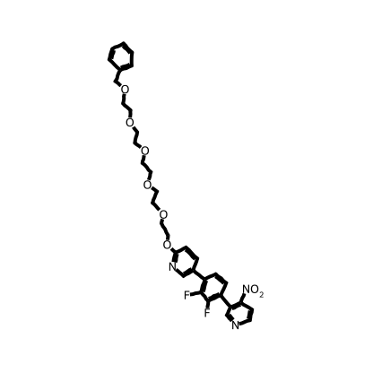 O=[N+]([O-])c1ccncc1-c1ccc(-c2ccc(OCCOCCOCCOCCOCCOCc3ccccc3)nc2)c(F)c1F